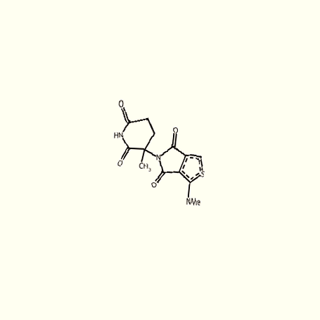 CNc1scc2c1C(=O)N(C1(C)CCC(=O)NC1=O)C2=O